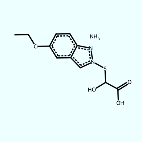 CCOc1ccc2nn(SC(O)C(=O)O)cc2c1.N